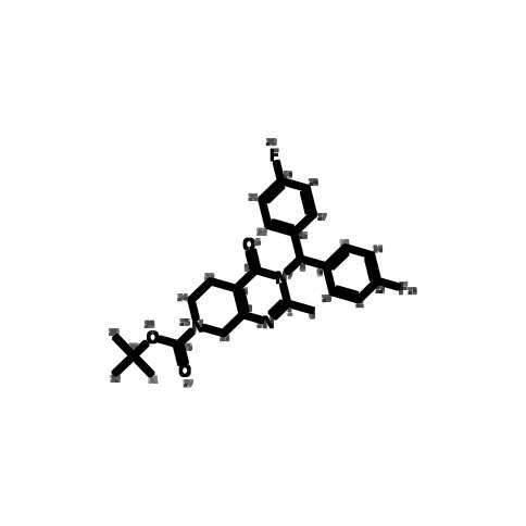 Cc1nc2c(c(=O)n1C(c1ccc(F)cc1)c1ccc(F)cc1)CCN(C(=O)OC(C)(C)C)C2